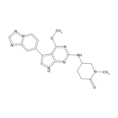 COc1nc(NC2CCC(=O)N(C)C2)nc2[nH]cc(-c3ccn4ncnc4c3)c12